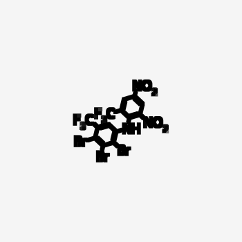 O=[N+]([O-])c1cc([N+](=O)[O-])c(Nc2cc(C(F)(F)F)c(Br)c(Br)c2Br)c(C(F)(F)F)c1